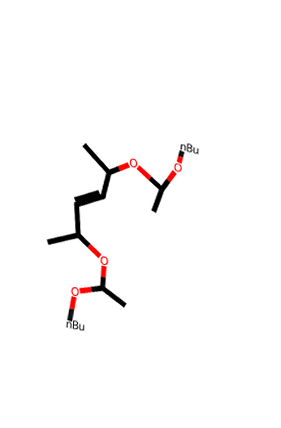 CCCCOC(C)OC(C)C=CC(C)OC(C)OCCCC